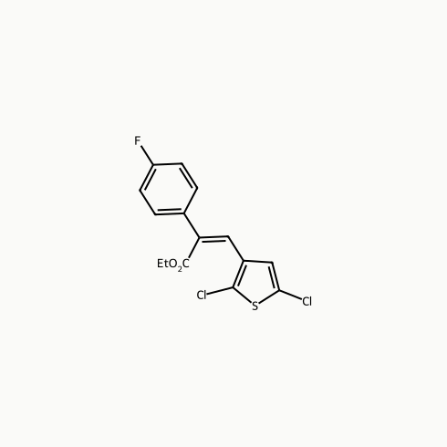 CCOC(=O)C(=Cc1cc(Cl)sc1Cl)c1ccc(F)cc1